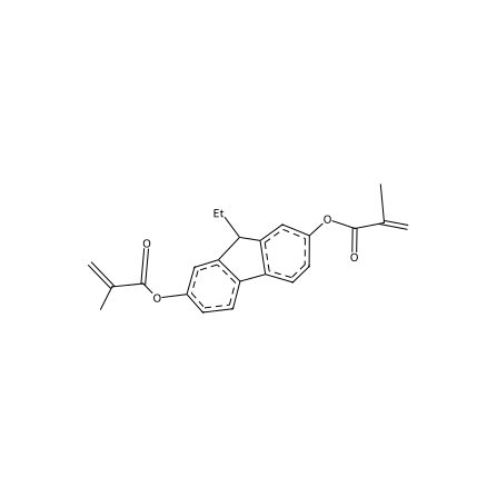 C=C(C)C(=O)Oc1ccc2c(c1)C(CC)c1cc(OC(=O)C(=C)C)ccc1-2